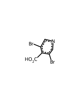 O=C(O)c1c(Br)cncc1Br